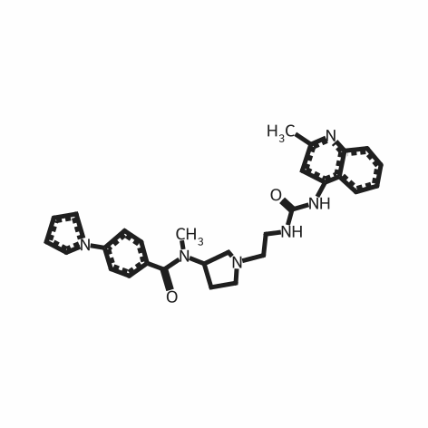 Cc1cc(NC(=O)NCCN2CCC(N(C)C(=O)c3ccc(-n4cccc4)cc3)C2)c2ccccc2n1